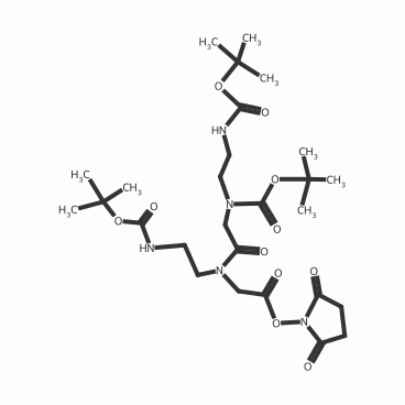 CC(C)(C)OC(=O)NCCN(CC(=O)ON1C(=O)CCC1=O)C(=O)CN(CCNC(=O)OC(C)(C)C)C(=O)OC(C)(C)C